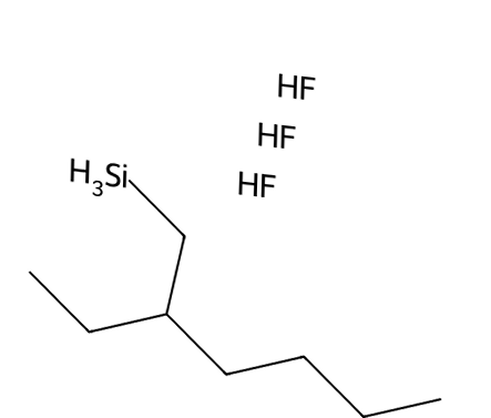 CCCCC(CC)C[SiH3].F.F.F